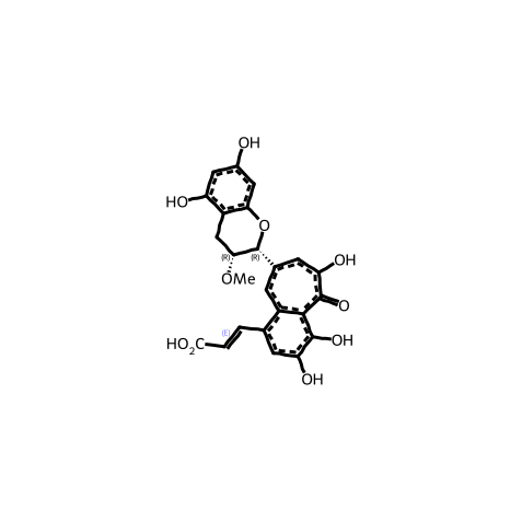 CO[C@@H]1Cc2c(O)cc(O)cc2O[C@@H]1c1cc(O)c(=O)c2c(O)c(O)cc(/C=C/C(=O)O)c2c1